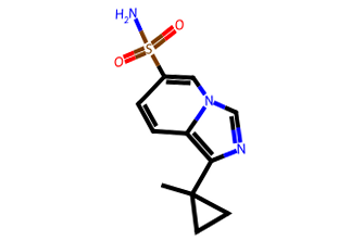 CC1(c2ncn3cc(S(N)(=O)=O)ccc23)CC1